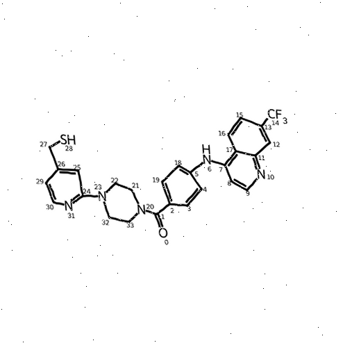 O=C(c1ccc(Nc2ccnc3cc(C(F)(F)F)ccc23)cc1)N1CCN(c2cc(CS)ccn2)CC1